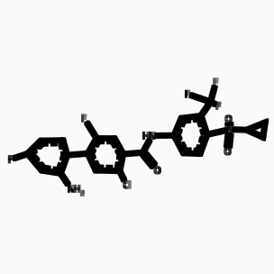 Nc1cc(F)ccc1-c1cc(Cl)c(C(=O)Nc2ccc(S(=O)(=O)C3CC3)c(C(F)(F)F)c2)cc1F